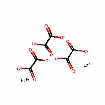 O=C([O-])C(=O)[O-].O=C([O-])C(=O)[O-].O=C([O-])C(=O)[O-].[La+3].[Pr+3]